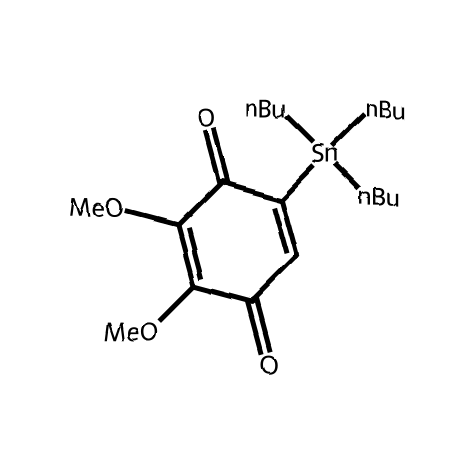 CCC[CH2][Sn]([CH2]CCC)([CH2]CCC)[C]1=CC(=O)C(OC)=C(OC)C1=O